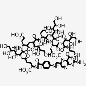 Nc1nc2ncc(CNc3ccc(C(=O)N[C@@H](CCC(=O)C[C@@H](C(=O)N[C@@H](CCC(=O)O)C(=O)C[C@@H](C(=O)N[C@@H](CCC(=O)O)C(=O)C[C@@H](C(=O)N[C@@H](CCC(=O)O)C(=O)C[C@@H](C(=O)NCCS)[C@@H](O)[C@H](O)[C@H](O)CO)[C@@H](O)[C@H](O)[C@H](O)CO)[C@@H](O)[C@H](O)[C@H](O)CO)[C@@H](O)[C@H](O)[C@H](O)CO)C(=O)O)cc3)nc2c(=O)[nH]1